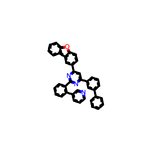 c1ccc(-c2cccc(-c3cc(-c4ccc5oc6ccccc6c5c4)nc(-c4ccccc4-c4cccnc4)n3)c2)cc1